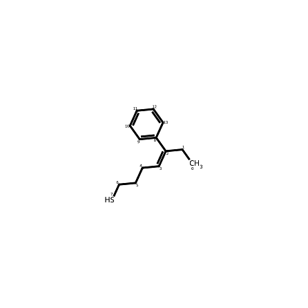 CC/C(=C/CCCS)c1ccccc1